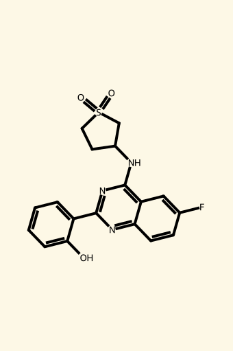 O=S1(=O)CCC(Nc2nc(-c3ccccc3O)nc3ccc(F)cc23)C1